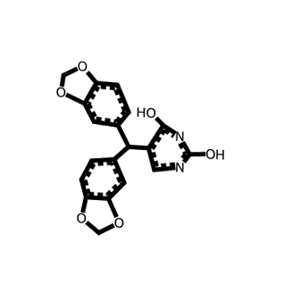 Oc1ncc(C(c2ccc3c(c2)OCO3)c2ccc3c(c2)OCO3)c(O)n1